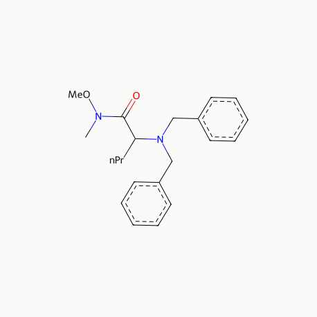 CCCC(C(=O)N(C)OC)N(Cc1ccccc1)Cc1ccccc1